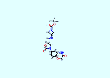 CC(C)(C)OC(=O)N1CC(NC[C@@H]2CN(c3ccc4c(c3)NC(=O)CO4)C(=O)O2)C1